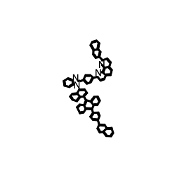 c1ccc2cc(-c3ccc(-c4c5ccccc5c(-c5ccc(-n6c(-c7ccc(-c8ccc9ccc%10ccc(-c%11ccc%12ccccc%12c%11)nc%10c9n8)cc7)nc7ccccc76)c6ccccc56)c5ccccc45)cc3)ccc2c1